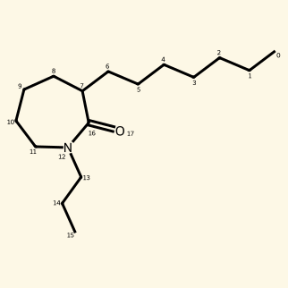 CCCCCCCC1CCCCN(CCC)C1=O